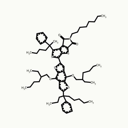 CCCCCCCCN1C(=O)c2sc3c(-c4cc5c(OCC(CC)CCCC)c6sc(C(CCC)(CCCCC)c7ccccc7)cc6c(OCC(CC)CCCC)c5s4)sc(C(C)(CCCC)c4ccccc4)c3c2C1=O